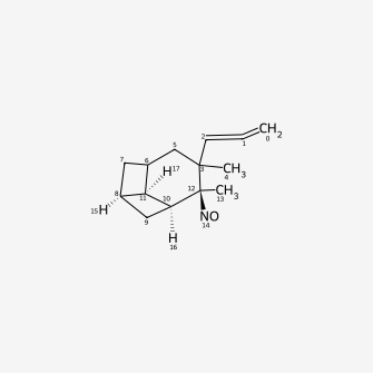 C=C=CC1(C)CC2C[C@@H]3C[C@@H]([C@H]23)[C@]1(C)N=O